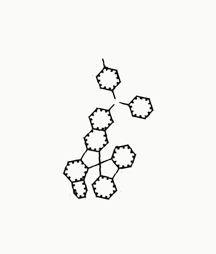 Fc1ccc(N(c2ccccc2)c2ccc3cc4c(cc3c2)C2(c3ccccc3-c3ccccc32)c2c-4ccc3ccccc23)cc1